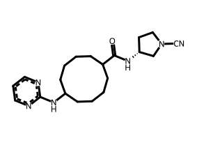 N#CN1CC[C@@H](NC(=O)C2CCCCC(Nc3ncccn3)CCCC2)C1